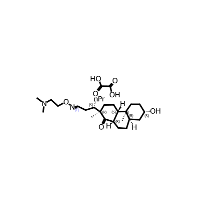 CCC[C@@H](C/C=N/OCCN(C)C)[C@@]1(C)CC[C@H]2[C@@H](CC[C@@H]3C[C@@H](O)CC[C@@]32C)C1=O.O=C(O)C(=O)O